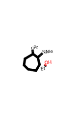 CCCC1CCCCCC1NC.CCO